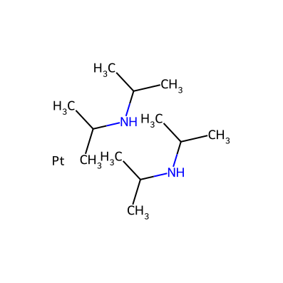 CC(C)NC(C)C.CC(C)NC(C)C.[Pt]